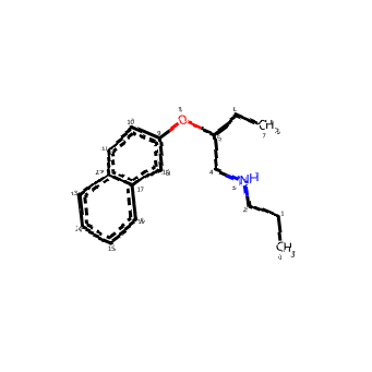 CCCNCC(CC)Oc1ccc2ccccc2c1